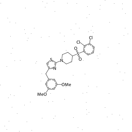 COc1cc(Cc2csc(N3CCC(S(=O)(=O)c4cccc(Cl)c4Cl)CC3)n2)cc(OC)c1